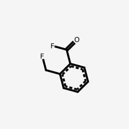 O=C(F)c1ccccc1CF